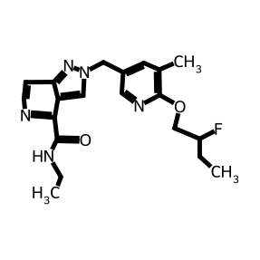 CCNC(=O)c1nccc2nn(Cc3cnc(OCC(F)CC)c(C)c3)cc12